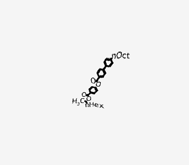 CCCCCCCCc1ccc(-c2ccc(C(=O)Oc3ccc(C(=O)OC(C)CCCCCC)cc3)cc2)cc1